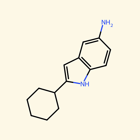 Nc1ccc2[nH]c(C3CCCCC3)cc2c1